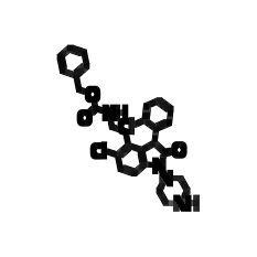 O=C(NCCc1c(Cl)ccc2c1C(c1ccccc1Cl)C(=O)N2N1CCNCC1)OCc1ccccc1